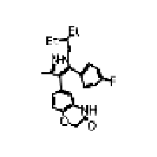 CCC(CC)Cn1nc(C)c(-c2ccc3c(c2)NC(=O)CO3)c1-c1ccc(F)cc1